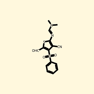 CN(C)/C=N/c1sc(C=O)c(S(=O)(=O)c2ccccc2)c1C#N